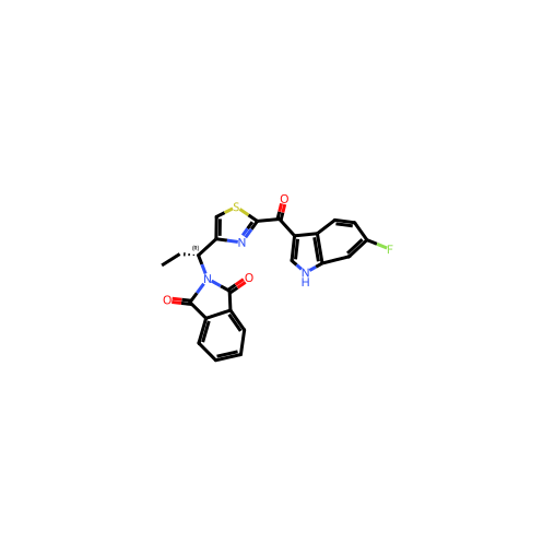 CC[C@H](c1csc(C(=O)c2c[nH]c3cc(F)ccc23)n1)N1C(=O)c2ccccc2C1=O